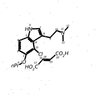 CCCOc1ccc2[nH]cc(CCN(C)C)c2c1Cl.O=C(O)C=CC(=O)O